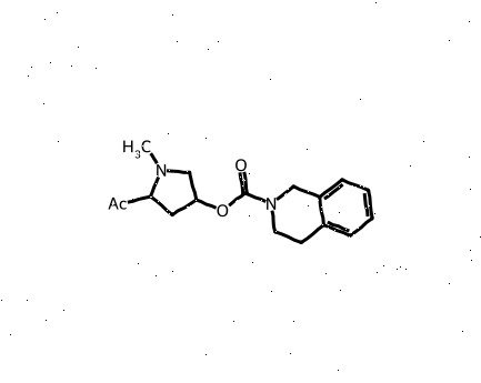 CC(=O)C1CC(OC(=O)N2CCc3ccccc3C2)CN1C